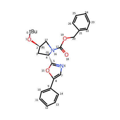 CC(C)(C)O[C@@H]1C[C@@H](c2ncc(-c3ccccc3)o2)N(C(=O)OCc2ccccc2)C1